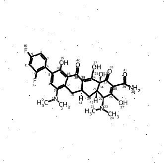 CN(C)c1cc(-c2ccc(F)cc2F)c(O)c2c1C[C@@H]1C[C@H]3[C@H](N(C)C)C(O)=C(C(N)=O)C(=O)[C@@]3(O)C(O)=C1C2=O